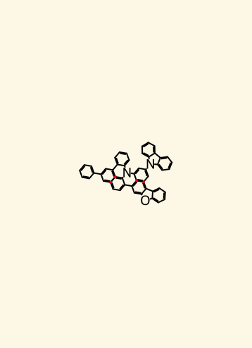 c1ccc(-c2cccc(-c3ccccc3N(c3cccc(-n4c5ccccc5c5ccccc54)c3)c3ccccc3-c3ccc4c(c3)oc3ccccc34)c2)cc1